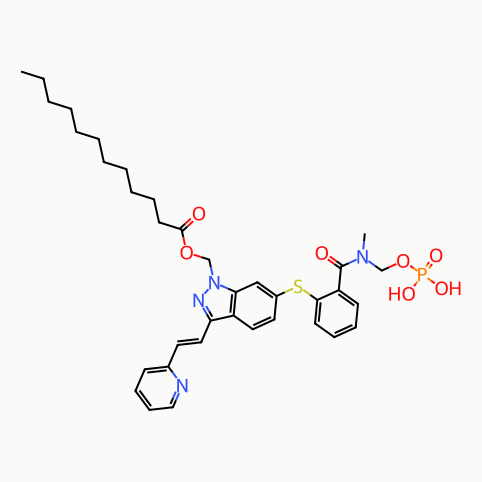 CCCCCCCCCCCC(=O)OCn1nc(/C=C/c2ccccn2)c2ccc(Sc3ccccc3C(=O)N(C)COP(=O)(O)O)cc21